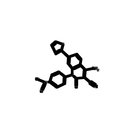 N#Cc1c(N)c2ccc(-c3cccs3)cc2n(-c2ccc([N+](=O)[O-])cc2)c1=O